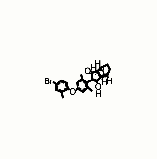 Cc1cc(Br)ccc1Oc1cc(C)c(C2=C(O)[C@H]3[C@@H](C2=O)[C@@H]2CC[C@H]3O2)c(C)c1